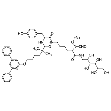 CC(C)(C)ON(C=O)C(CCCCNC(=O)C(Cc1ccc(O)cc1)NC(=O)C(C)(C)CCCCOc1cc(-c2ccccc2)cc(-c2ccccc2)n1)C(=O)NCC(O)C(O)C(O)C(O)CO